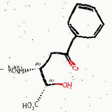 CC(=O)N[C@H](CC(=O)c1ccccc1)[C@H](O)C(=O)O